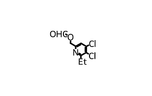 CCc1nc(COC=O)cc(Cl)c1Cl